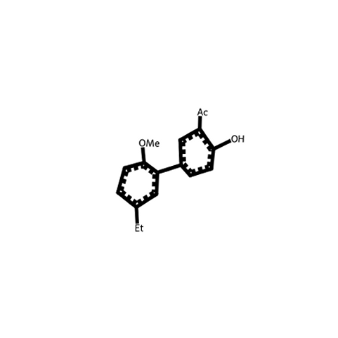 CCc1ccc(OC)c(-c2ccc(O)c(C(C)=O)c2)c1